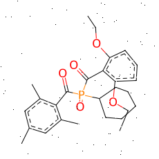 CCOc1cccc(OCC)c1C(=O)P(=O)(C(=O)c1c(C)cc(C)cc1C)C1CCCCC1